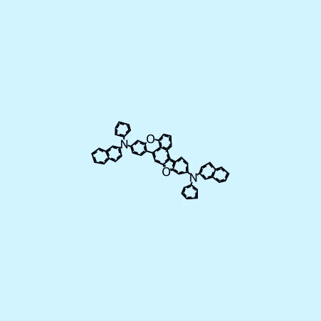 c1ccc(N(c2ccc3c(c2)Oc2cccc4c2c-3cc2oc3cc(N(c5ccccc5)c5ccc6ccccc6c5)ccc3c24)c2ccc3ccccc3c2)cc1